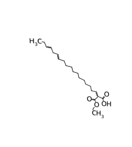 CCC=CCC=CCCCCCCCCCCC=C(C(=O)O)C(=O)OCC